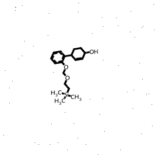 C[Si](C)(C)CCOCOc1ccccc1C1C=CC(O)CC1